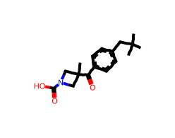 CC(C)(C)Cc1ccc(C(=O)C2(C)CN(C(=O)O)C2)cc1